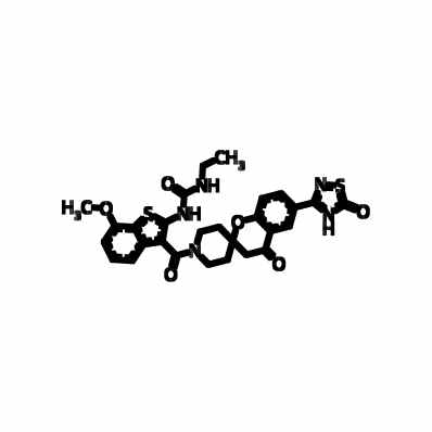 CCNC(=O)Nc1sc2c(OC)cccc2c1C(=O)N1CCC2(CC1)CC(=O)c1cc(-c3nsc(=O)[nH]3)ccc1O2